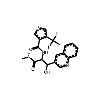 CNC(=O)C(NC(=O)c1cscc1C(F)(F)F)C(O)c1cnc2ccccc2c1